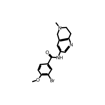 COc1ccc(C(=O)Nc2cnc3c(c2)CN(C)CC3)cc1Br